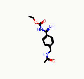 CCOC(=O)NC(=N)c1ccc(CNC(C)=O)cc1